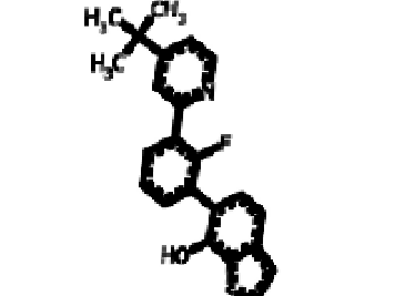 CC(C)(C)c1ccnc(-c2cccc(-c3ccc4ccsc4c3O)c2F)c1